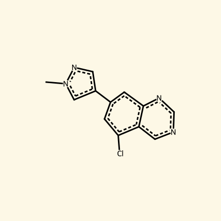 Cn1cc(-c2cc(Cl)c3cncnc3c2)cn1